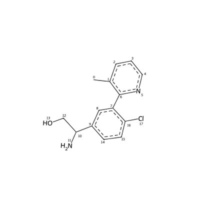 Cc1cccnc1-c1cc(C(N)CO)ccc1Cl